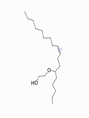 CCCCCCCC/C=C\CCC(CCCCC)OCCO